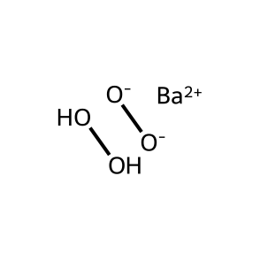 OO.[Ba+2].[O-][O-]